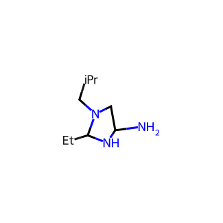 CCC1NC(N)CN1CC(C)C